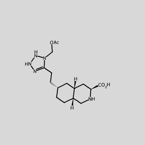 CC(=O)OCN1NNN=C1CC[C@H]1CC[C@H]2CN[C@H](C(=O)O)C[C@H]2C1